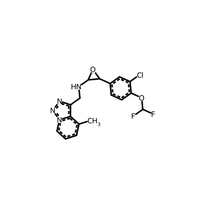 Cc1cccn2nnc(CNC3OC3c3ccc(OC(F)F)c(Cl)c3)c12